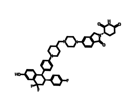 O=C1CC[C@H](N2Cc3cc(N4CCN(CC5CCN(c6ccc([C@@H]7c8ccc(O)cc8C(F)(F)C[C@@H]7c7ccc(F)cc7)cc6)CC5)CC4)ccc3C2=O)C(=O)N1